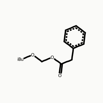 CCC(C)OCOC(=O)Cc1ccccc1